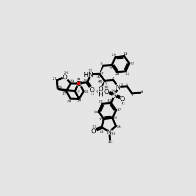 CCCN(C[C@@H](O)[C@H](Cc1ccccc1)NC(=O)OC1C2COC3OCC1C3C2)S(=O)(=O)c1ccc2c(c1)CN(C)C2=O